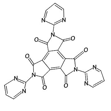 O=c1c2c3c(=O)n(-c4ncccn4)c(=O)c3c3c(=O)n(-c4ncccn4)c(=O)c3c2c(=O)n1-c1ncccn1